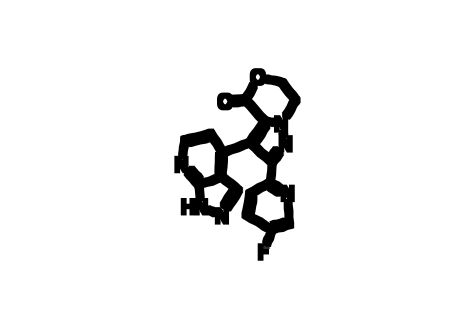 O=C1OCCn2nc(-c3ccc(F)cn3)c(-c3ccnc4[nH]ncc34)c21